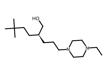 CCN1CCN(CCC[C@H](CO)CCC(C)(C)C)CC1